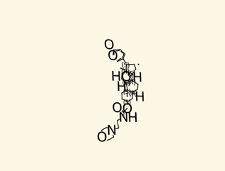 C[C@]12CC[C@H](OC(=O)NCCN3CCOCC3)C[C@H]1CC[C@@H]1[C@@H]2CC[C@]2(C)[C@@H](c3ccc(=O)oc3)[CH]C[C@]12O